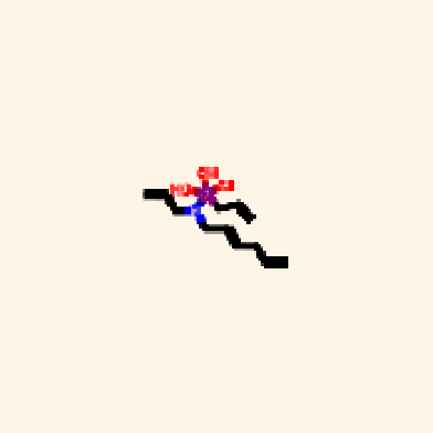 C=CCC=CCN(CC=C)P(O)(O)(O)CC=C